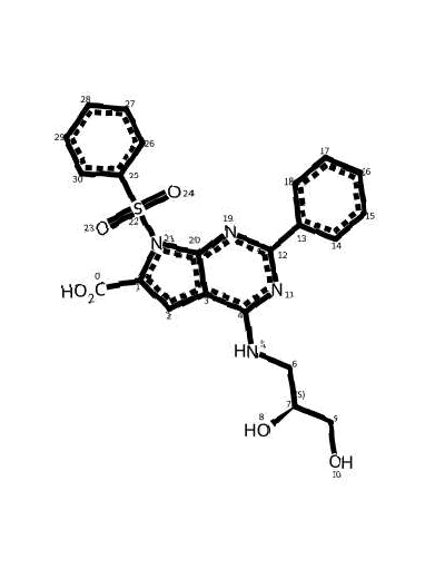 O=C(O)c1cc2c(NC[C@H](O)CO)nc(-c3ccccc3)nc2n1S(=O)(=O)c1ccccc1